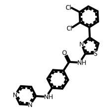 O=C(Nc1nc(-c2cccc(Cl)c2Cl)cs1)c1ccc(Nc2ccncn2)cc1